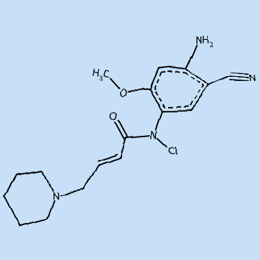 COc1cc(N)c(C#N)cc1N(Cl)C(=O)C=CCN1CCCCC1